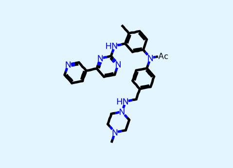 CC(=O)N(c1ccc(CNN2CCN(C)CC2)cc1)c1ccc(C)c(Nc2nccc(-c3cccnc3)n2)c1